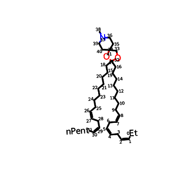 CC/C=C\C/C=C\C/C=C\CCCCCCCCC1(CCCCCCCC/C=C\C/C=C\CCCCC)OCC2(CCN(C)CC2)O1